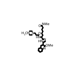 CNC(=O)CCCCCC(NC(=O)CCN1CCN(C)CC1)c1ncc(-c2cc3ccccc3nc2OC)[nH]1